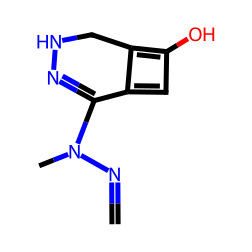 C=NN(C)C1=NNCC2=C(O)C=C12